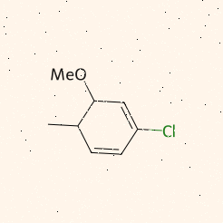 COC1C=C(Cl)C=CC1C